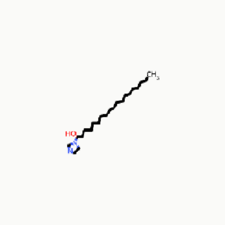 CCCCCCCCCCCCCCCC=CCC(O)N1C=NCC1